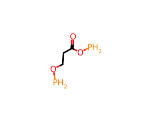 O=C(CCOP)OP